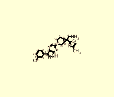 Cc1csc(C2(CN)C3CCN(c4cnc5c(-c6cccc(Cl)c6)n[nH]c5n4)CC32)n1